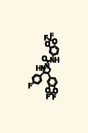 O=C(Nc1ccc2c(c1)OC(F)(F)O2)N1CC(c2ccc3c(c2)OC(F)(F)O3)=C(c2ccc(F)cc2)N1